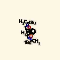 CC(N1CCC(C)(c2ccccc2C2(C)CCN(C(C)C(C)(C)C)O2)O1)C(C)(C)C